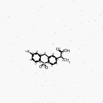 CC(C(=O)O)c1ccc2c(c1)Cc1cc(F)ccc1S2(=O)=O